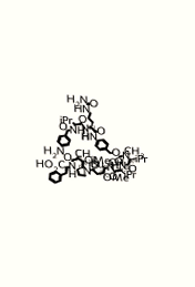 CCC(C)[C@@H]([C@@H](CC(=O)N1CCC[C@H]1[C@H](OC)[C@@H](C)C(=O)N[C@@H](Cc1ccccc1)C(=O)O)OC)N(C)C(=O)[C@@H](NC(=O)[C@H](C(C)C)N(C)C(=O)OCc1ccc(NC(=O)[C@H](CCCNC(N)=O)NC(=O)C(NC(=O)c2ccc(N)cc2)C(C)C)cc1)C(C)C